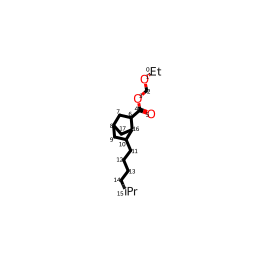 CCOCOC(=O)C1CC2CC(CCCCC(C)C)C1C2